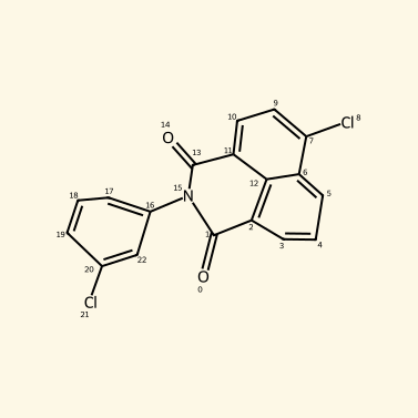 O=C1c2cccc3c(Cl)ccc(c23)C(=O)N1c1cccc(Cl)c1